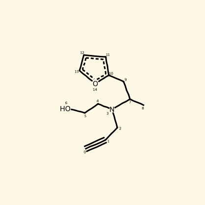 C#CCN(CCO)C(C)Cc1ccco1